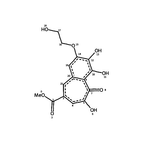 COC(=O)c1cc(O)c(=O)c2c(O)c(O)c(OCCO)cc2c1